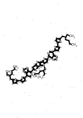 CCCCC(CC)Cc1ccc(-c2ccc(-c3cnc(-c4cc5c(s4)c4sc6cc(-c7ncc(-c8ccc(-c9ccc(CC(CC)CCCC)s9)s8)c8nsnc78)sc6c4n5CC(CC)CCCC)c4nsnc34)s2)s1